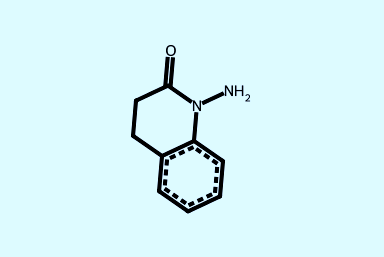 NN1C(=O)CCc2ccccc21